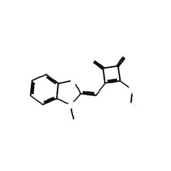 CCCCOc1c(/C=C2\Sc3ccccc3N2C)c(=O)c1=O